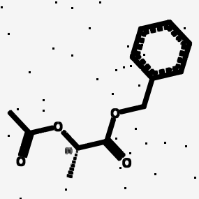 CC(=O)O[C@@H](C)C(=O)OCc1ccccc1